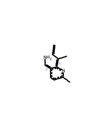 C=C/C(C)=c1/nc(C)cc/c1=C/N